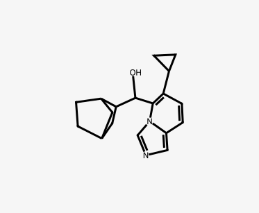 OC(c1c(C2CC2)ccc2cncn12)C1CC2CCC1C2